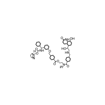 CC(C)N(CCOC(=O)c1ccc(COc2cccc(C(NC(=O)O[C@H]3CN4CCC3CC4)c3ccccc3)c2)cc1)C(=O)c1ccc(CNC[C@@H](O)c2ccc(O)c3[nH]c(=O)ccc23)cc1